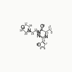 CC(C)c1nc(-c2ccco2)nn(CCN2CCOCC2)c1=O